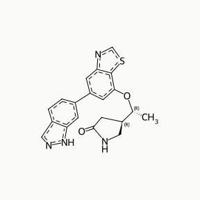 C[C@@H](Oc1cc(-c2ccc3cn[nH]c3c2)cc2ncsc12)[C@H]1CNC(=O)C1